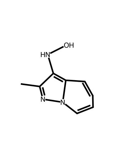 Cc1nn2ccccc2c1NO